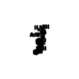 CC(=O)Nc1cc(C(=N)N)ccc1CCC(=O)N1CCCc2cc(NS(=O)(=O)c3ccccc3)ccc21.Cl